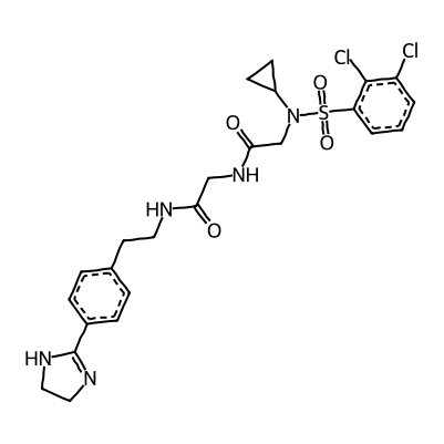 O=C(CNC(=O)CN(C1CC1)S(=O)(=O)c1cccc(Cl)c1Cl)NCCc1ccc(C2=NCCN2)cc1